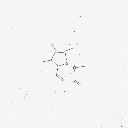 C=C(/C=C\C1SC(C)=C(C)C1C)OC